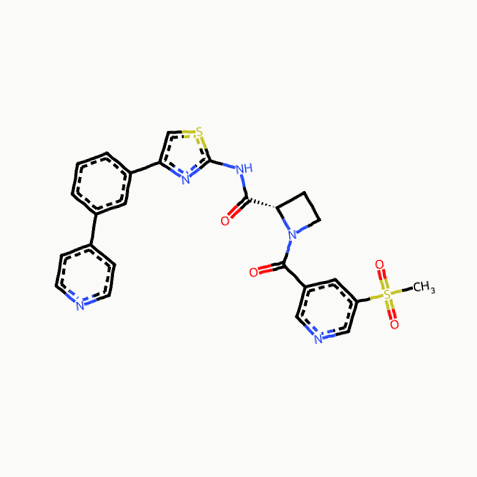 CS(=O)(=O)c1cncc(C(=O)N2CC[C@H]2C(=O)Nc2nc(-c3cccc(-c4ccncc4)c3)cs2)c1